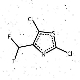 FC(F)c1nc(Cl)sc1Cl